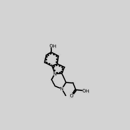 CN1CCn2c(cc3cc(O)ccc32)C1CC(=O)O